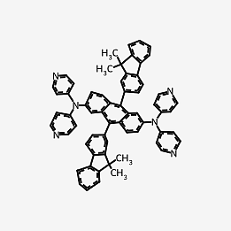 CC1(C)c2ccccc2-c2ccc(-c3c4ccc(N(c5ccncc5)c5ccncc5)cc4c(-c4ccc5c(c4)C(C)(C)c4ccccc4-5)c4ccc(N(c5ccncc5)c5ccncc5)cc34)cc21